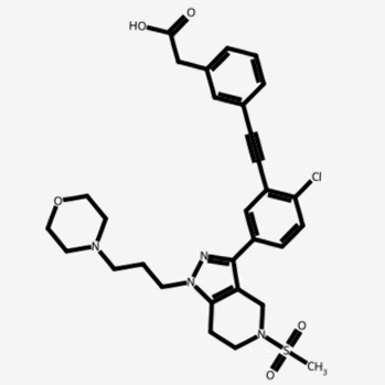 CS(=O)(=O)N1CCc2c(c(-c3ccc(Cl)c(C#Cc4cccc(CC(=O)O)c4)c3)nn2CCCN2CCOCC2)C1